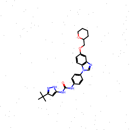 CC(C)(C)c1cc(NC(=O)Nc2ccc(-n3cnc4cc(OCC5CCCCO5)ccc43)cc2)[nH]n1